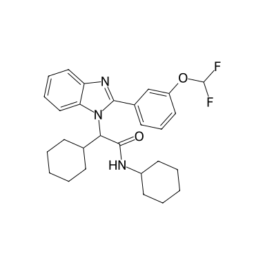 O=C(NC1CCCCC1)C(C1CCCCC1)n1c(-c2cccc(OC(F)F)c2)nc2ccccc21